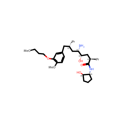 COCCCOc1cc(C[C@@H](C[C@H](N)[C@@H](O)C[C@H](C(=O)N[C@@H]2CCC[C@H]2O)C(C)C)C(C)C)ccc1OC